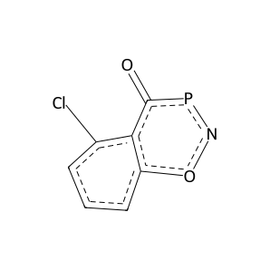 O=c1pnoc2cccc(Cl)c12